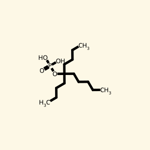 CCCCCC(CCCC)(CCCC)OP(=O)(O)O